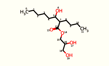 CCCCCC(O)C(CCCC)C(=O)OCC(O)CO